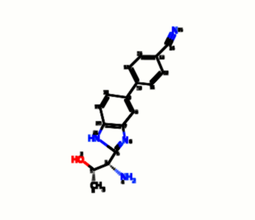 C[C@H](O)[C@@H](N)c1nc2cc(-c3ccc(C#N)cc3)ccc2[nH]1